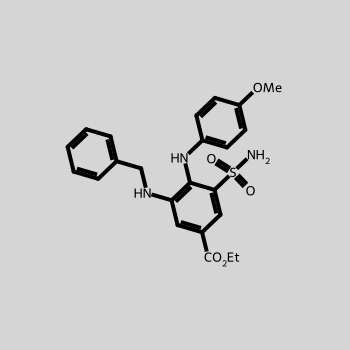 CCOC(=O)c1cc(NCc2ccccc2)c(Nc2ccc(OC)cc2)c(S(N)(=O)=O)c1